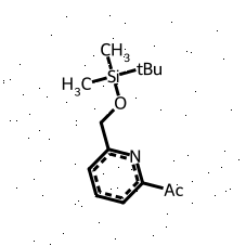 CC(=O)c1cccc(CO[Si](C)(C)C(C)(C)C)n1